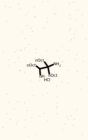 CCCCCCCCC(CCC)C(N)(CCCCCCCC)CCCCCCCC.Cl